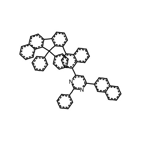 c1ccc(-c2nc(-c3ccc4ccccc4c3)cc(-c3ccc(-c4cccc5c4C(c4ccccc4)(c4ccccc4)c4c-5ccc5ccccc45)c4ccccc34)n2)cc1